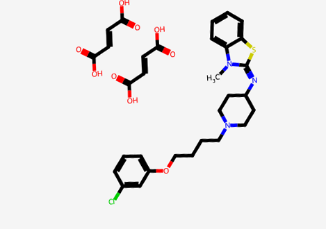 Cn1c(=NC2CCN(CCCCOc3cccc(Cl)c3)CC2)sc2ccccc21.O=C(O)C=CC(=O)O.O=C(O)C=CC(=O)O